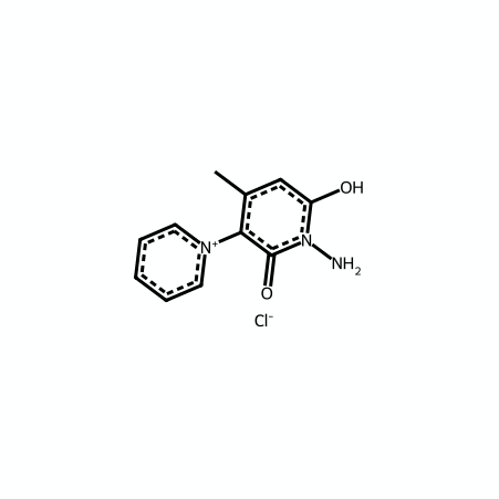 Cc1cc(O)n(N)c(=O)c1-[n+]1ccccc1.[Cl-]